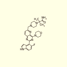 CC(C)(C(N)=O)N1CCN(Cc2ccc3nc(-c4c(F)ccc5[nH]ccc45)nc(N4CCOCC4)c3n2)CC1